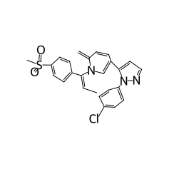 C=C1C=CC(c2ccnn2-c2ccc(Cl)cc2)=CN1/C(=C\C)c1ccc(S(C)(=O)=O)cc1